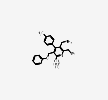 Cc1ccc(-c2c(COc3ccccc3)c(C)nc(CC(C)C)c2CN)cc1.Cl.Cl